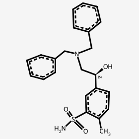 Cc1ccc([C@H](O)CN(Cc2ccccc2)Cc2ccccc2)cc1S(N)(=O)=O